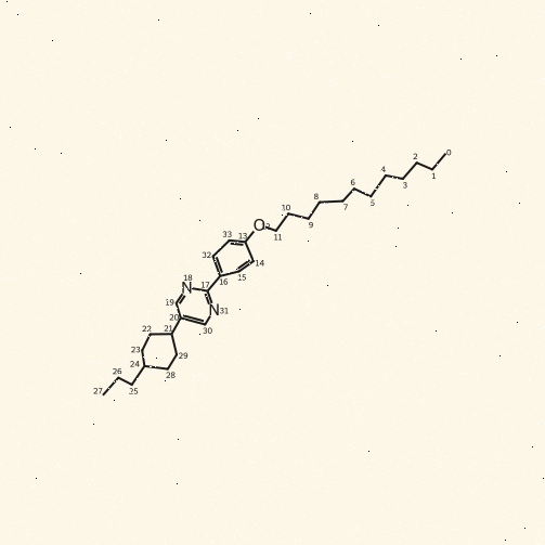 CCCCCCCCCCCCOc1ccc(-c2ncc(C3CCC(CCC)CC3)cn2)cc1